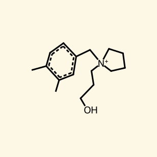 Cc1ccc(C[N+]2(CCCO)CCCC2)cc1C